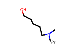 CCCN(C)CCCCCO